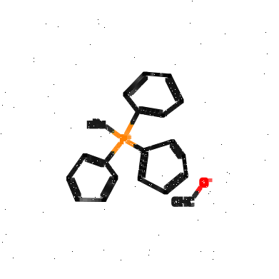 CCCC[P+](c1ccccc1)(c1ccccc1)c1ccccc1.O=C[O-]